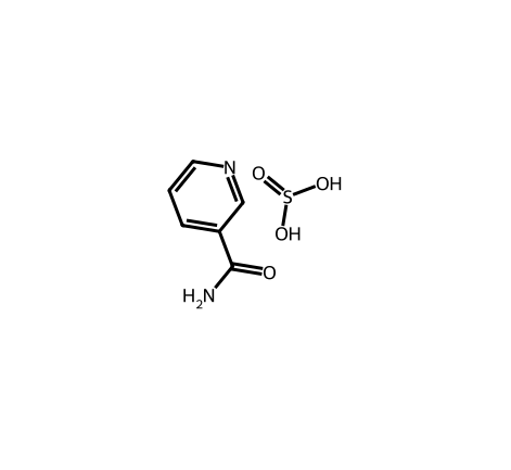 NC(=O)c1cccnc1.O=S(O)O